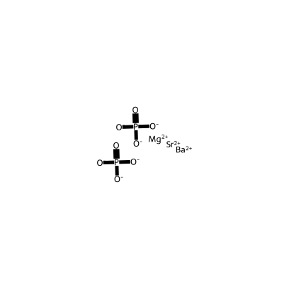 O=P([O-])([O-])[O-].O=P([O-])([O-])[O-].[Ba+2].[Mg+2].[Sr+2]